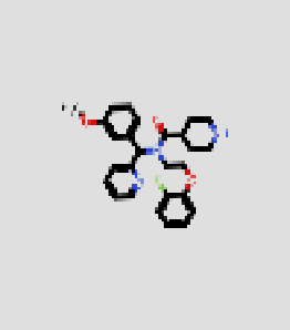 COc1cccc(C(c2ccccn2)N(CCOc2ccccc2F)C(=O)C2CCNCC2)c1